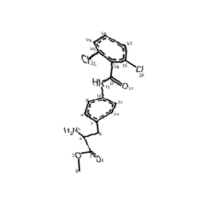 COC(=O)C(N)Cc1ccc(NC(=O)c2c(Cl)cccc2Cl)cc1